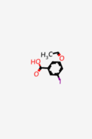 CC=O.O=C(O)c1cccc(I)c1